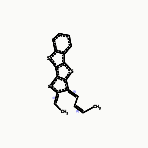 C\C=C/C=c1\c(=C/C)sc2c1sc1c3ccccc3sc21